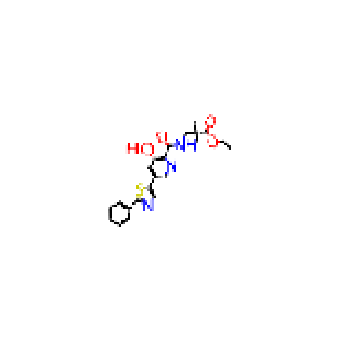 CCOC(=O)C(C)(C)CNC(=O)c1ncc(-c2cnc(-c3ccccc3)s2)cc1O